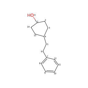 OC1CCC(CCc2ccccc2)CC1